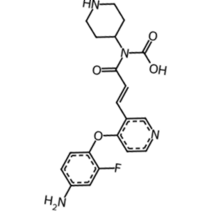 Nc1ccc(Oc2ccncc2C=CC(=O)N(C(=O)O)C2CCNCC2)c(F)c1